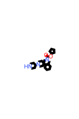 O=C(OC1CCCC1)N1CC2=C(CCCC2)C2(CCN(C3CCNCC3)CC2)C1